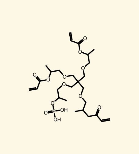 C=CC(=O)CC(C)COCC(COCC(C)OC(=O)C=C)(COCC(C)OC(=O)C=C)COCC(C)OP(=O)(O)O